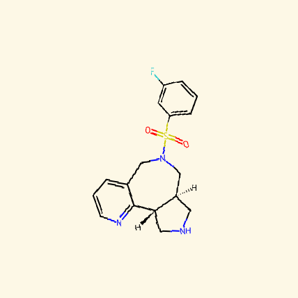 O=S(=O)(c1cccc(F)c1)N1Cc2cccnc2[C@H]2CNC[C@@H]2C1